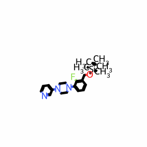 CC(C)(C)[Si](C)(C)OCc1cccc(N2CCN(c3cccnc3)CC2)c1F